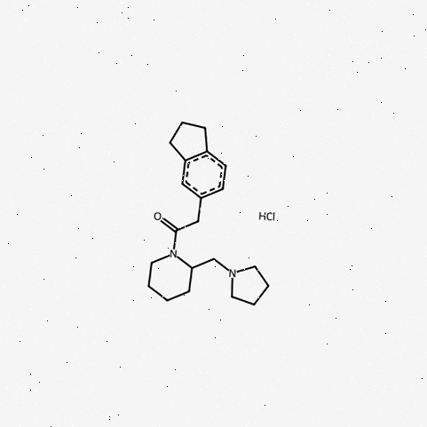 Cl.O=C(Cc1ccc2c(c1)CCC2)N1CCCCC1CN1CCCC1